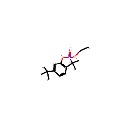 CCOP1(=O)Oc2cc(C(C)(C)C)ccc2C1(C)C